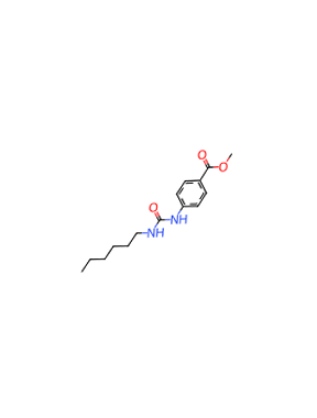 CCCCCCNC(=O)Nc1ccc(C(=O)OC)cc1